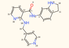 O=C(Nc1ccc2c(c1)NCC2)c1cccnc1NCc1ccncc1